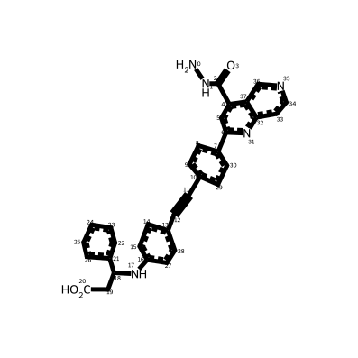 NNC(=O)c1cc(-c2ccc(C#Cc3ccc(NC(CC(=O)O)c4ccccc4)cc3)cc2)nc2ccncc12